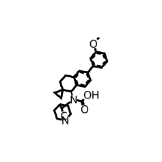 COc1cccc(-c2ccc3c(c2)CCC2(CC2)[C@@H]3N(C(=O)O)C2CN3CCC2CC3)c1